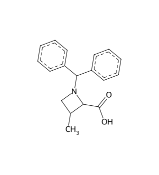 CC1CN(C(c2ccccc2)c2ccccc2)C1C(=O)O